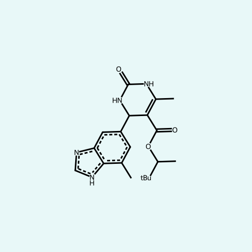 CC1=C(C(=O)OC(C)C(C)(C)C)C(c2cc(C)c3[nH]cnc3c2)NC(=O)N1